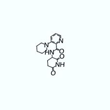 O=C1CCC(NC(=O)c2ncccc2N2CCCCC2)C(=O)N1